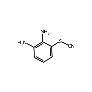 N#CSc1cccc(N)c1N